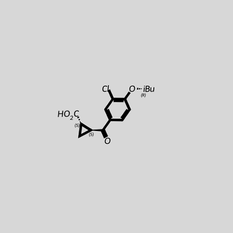 CC[C@@H](C)Oc1ccc(C(=O)[C@H]2C[C@@H]2C(=O)O)cc1Cl